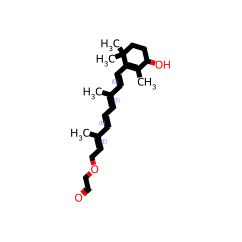 CC1=C(/C=C/C(C)=C/C=C/C(C)=C/COC[C]=O)C(C)(C)CCC1O